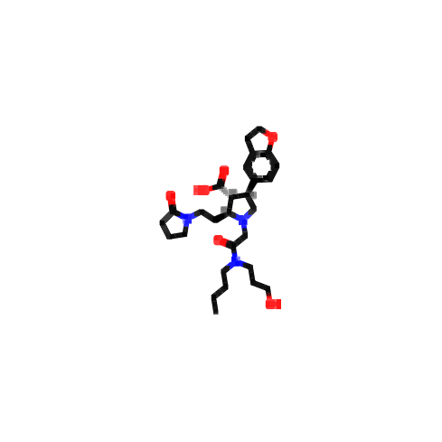 CCCCN(CCCO)C(=O)CN1C[C@H](c2ccc3c(c2)CCO3)[C@@H](C(=O)O)[C@@H]1CCN1CCCC1=O